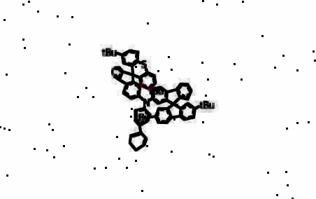 CC(C)(C)c1ccc2c(c1)C1(c3cc(C(C)(C)C)ccc3S2)c2ccccc2-c2ccc(N(c3ccc(C4=CCCC=C4)cc3)c3ccc4c(c3)C3(c5ccccc5-4)c4cc(C(C)(C)C)ccc4-c4ccc(C(C)(C)C)cc43)cc21